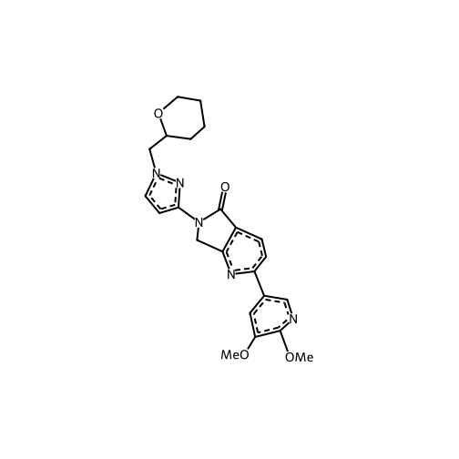 COc1cc(-c2ccc3c(n2)CN(c2ccn(CC4CCCCO4)n2)C3=O)cnc1OC